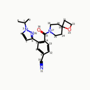 CC(C)n1ccc(-c2cc(C#N)ccc2C(=O)N2CCC3(CCO3)CC2)n1